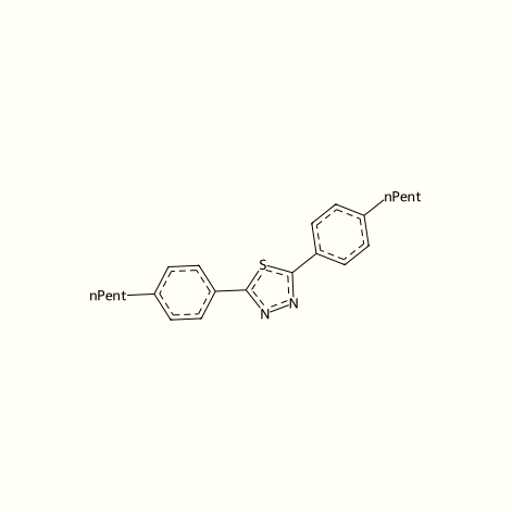 CCCCCc1ccc(-c2nnc(-c3ccc(CCCCC)cc3)s2)cc1